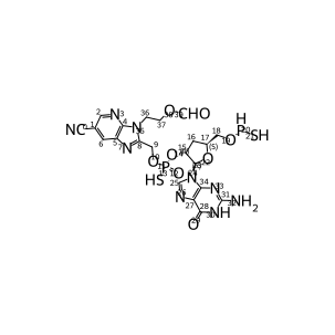 N#Cc1cnc2c(c1)nc(COP(=O)(S)O[C@@H]1C[C@@H](COPS)O[C@H]1n1cnc3c(=O)[nH]c(N)nc31)n2CCOC=O